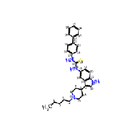 CCCCCN1CCC(c2c[nH]c3ccc(NC(=S)Nc4ccc(-c5ccccc5)cc4)cc23)CC1